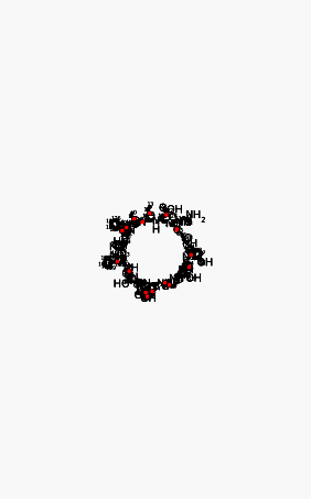 CCCC[C@H]1C(=O)N(C)[C@@H](CCCC)C(=O)N[C@@H](CCC(=O)O)C(=O)N[C@H](C(=O)NCC(N)=O)CSCC(=O)N[C@@H](Cc2ccc(O)cc2)C(=O)N(C)[C@@H](C)C(=O)N[C@@H](CC(=O)O)C(=O)N2CCC[C@H]2C(=O)N[C@@H](Cc2cnc[nH]2)C(=O)N[C@@H](CCC(=O)O)C(=O)N2C[C@H](O)C[C@H]2C(=O)N[C@@H](Cc2c[nH]c3ccccc23)C(=O)N[C@@H](CO)C(=O)N[C@@H](Cc2c[nH]c3ccccc23)C(=O)N1C